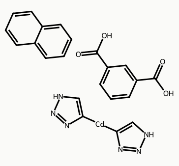 O=C(O)c1cccc(C(=O)O)c1.c1[nH]nn[c]1[Cd][c]1c[nH]nn1.c1ccc2ccccc2c1